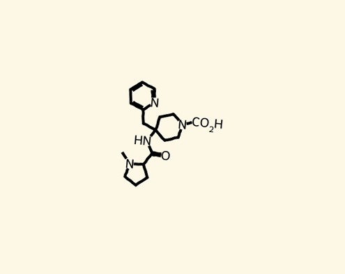 CN1CCCC1C(=O)NC1(Cc2ccccn2)CCN(C(=O)O)CC1